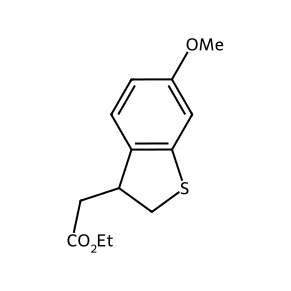 CCOC(=O)CC1CSc2cc(OC)ccc21